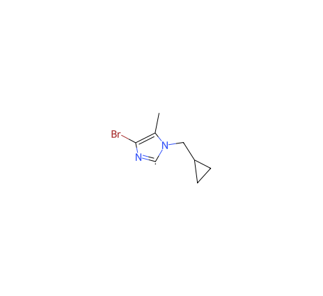 Cc1c(Br)n[c]n1CC1CC1